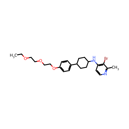 CCOCCOCCOc1ccc(C2CCC(Nc3ccnc(C)c3Br)CC2)cc1